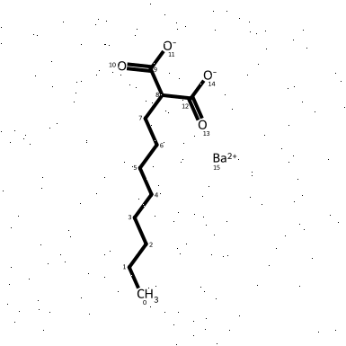 CCCCCCCCC(C(=O)[O-])C(=O)[O-].[Ba+2]